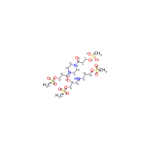 CS(=O)(=O)OCCC(=O)N1CCN(C(=O)CCOS(C)(=O)=O)CC1.CS(=O)(=O)OCCCNCCCOS(C)(=O)=O